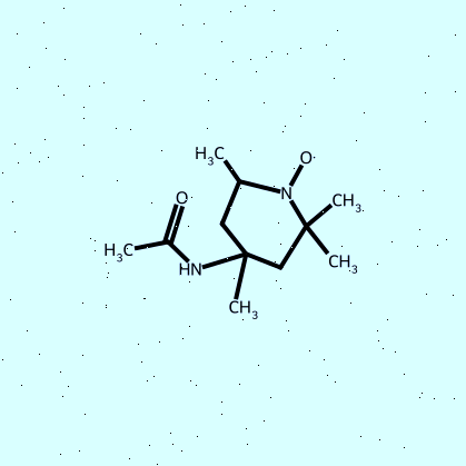 CC(=O)NC1(C)CC(C)N([O])C(C)(C)C1